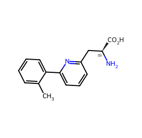 Cc1ccccc1-c1cccc(C[C@H](N)C(=O)O)n1